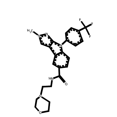 Cn1cc2c3cc(C(=O)NCCN4CCOCC4)ccc3n(-c3ccc(C(F)(F)F)cc3)c2n1